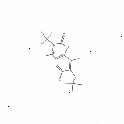 Cc1c(C(F)(F)F)c(=O)oc2c(Cl)c(SC(C)(C)C)c(Cl)cc12